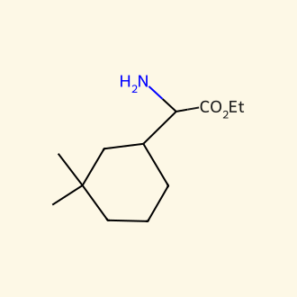 CCOC(=O)C(N)C1CCCC(C)(C)C1